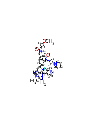 COC1CC(C(=O)N2CCC3(CC2)C(=O)N(C2CC(N4CCCCC4)C2)c2cc(-c4cc5ncn(C(C)C)c5c(Nc5ccncc5F)n4)ccc23)C1